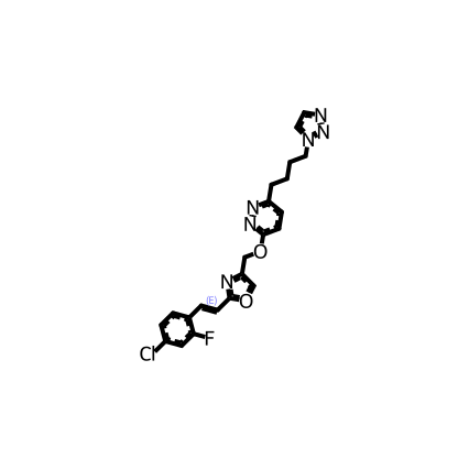 Fc1cc(Cl)ccc1/C=C/c1nc(COc2ccc(CCCCn3ccnn3)nn2)co1